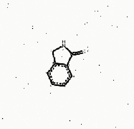 S=C1NCc2ccccc21